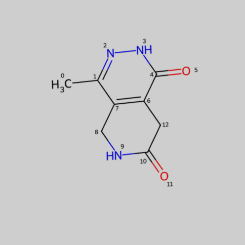 Cc1n[nH]c(=O)c2c1CNC(=O)C2